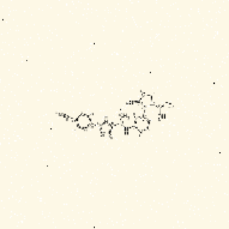 C[C@H](Nc1nccc(N2C(=O)OCC2[C@@H](C)O)n1)c1nc(-c2ccc(C#N)cc2)cs1